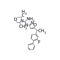 CC(c1ccc(-c2ccccc2)c(F)c1)c1cc(/N=C(\N)N2C(C)COCC2C)no1